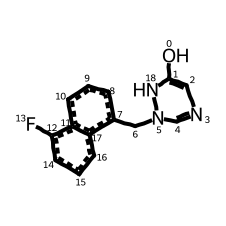 OC1=CN=CN(Cc2cccc3c(F)cccc23)N1